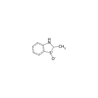 CC1Nc2ccccc2[S+]1[O-]